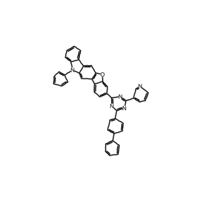 c1ccc(-c2ccc(-c3nc(-c4cccnc4)nc(-c4ccc5c(c4)oc4cc6c7ccccc7n(-c7ccccc7)c6cc45)n3)cc2)cc1